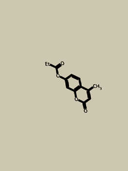 CCC(=O)Oc1ccc2c(C)cc(=O)oc2c1